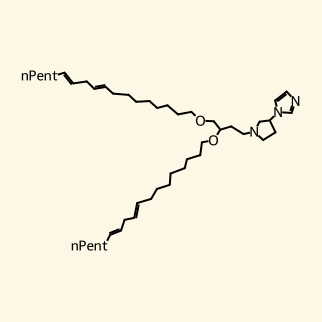 CCCCCC=CCC=CCCCCCCCCOCC(CCN1CCC(n2ccnc2)C1)OCCCCCCCCC=CCC=CCCCCC